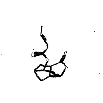 C/C=C/C(=O)OC1C2CC3C(=O)OC1C3C2